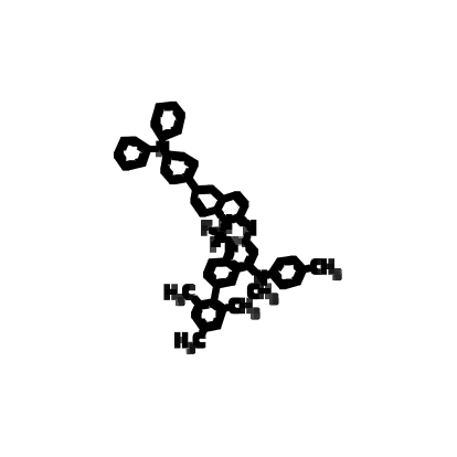 Cc1ccc(N(C)c2cc3[n+](c4ccc(-c5c(C)cc(C)cc5C)cc24)[B-](F)(F)N2C(=N3)C=CC3C=C(c4ccc(N(c5ccccc5)c5ccccc5)cc4)C=CC32)cc1